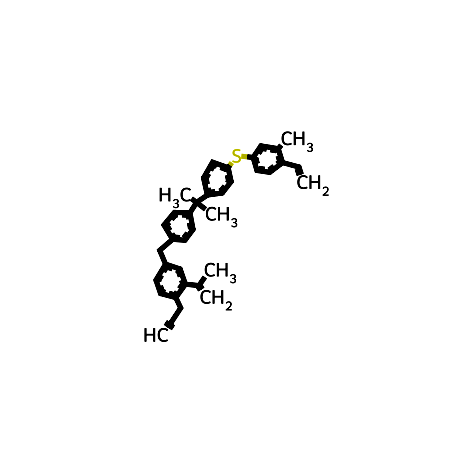 C#CCc1ccc(Cc2ccc(C(C)(C)c3ccc(Sc4ccc(C=C)c(C)c4)cc3)cc2)cc1C(=C)C